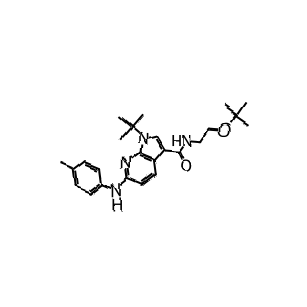 Cc1ccc(Nc2ccc3c(C(=O)NCCOC(C)(C)C)cn(C(C)(C)C)c3n2)cc1